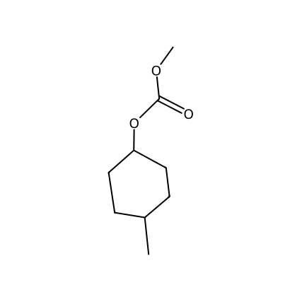 COC(=O)OC1CCC(C)CC1